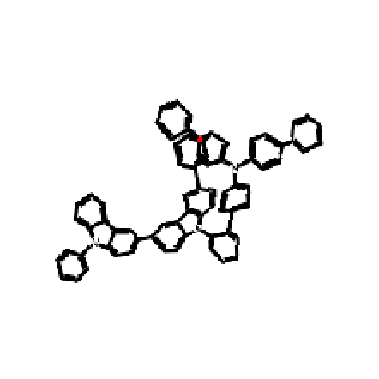 c1ccc(-c2ccc(N(c3ccc(-c4ccccc4)cc3)c3ccc(-c4ccccc4-n4c5ccc(-c6ccccc6)cc5c5cc(-c6ccc7c(c6)c6ccccc6n7-c6ccccc6)ccc54)cc3)cc2)cc1